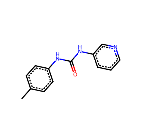 Cc1ccc(NC(=O)Nc2cccnc2)cc1